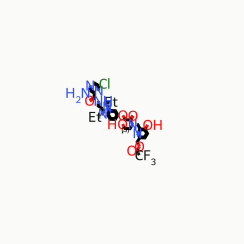 CCn1c(CNC(=O)c2nc(Cl)cnc2N)[n+](CC)c2ccc(OCC(=O)N(Cc3nc(COC(=O)C(F)(F)F)ccc3O)C[C@H](C)O)cc21